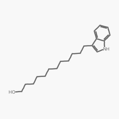 OCCCCCCCCCCCCc1c[nH]c2ccccc12